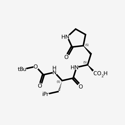 CC(C)C[C@H](NC(=O)OC(C)(C)C)C(=O)N[C@@H](C[C@@H]1CCNC1=O)C(=O)O